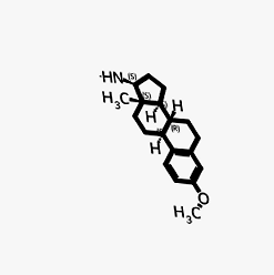 COc1ccc2c(c1)CC[C@@H]1[C@@H]2CC[C@]2(C)[C@@H]([NH])CC[C@@H]12